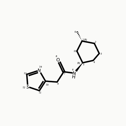 C[C@@H]1CCC[C@@H](NC(=O)Cc2cscn2)C1